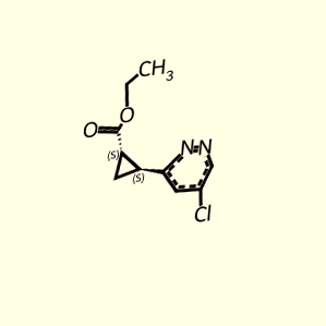 CCOC(=O)[C@H]1C[C@@H]1c1cc(Cl)cnn1